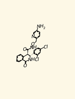 Nc1ccc(CONC(=O)[C@@H]2c3ccccc3C(=O)N[C@H]2c2ccc(Cl)cc2Cl)nc1